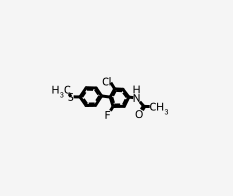 CSc1ccc(-c2c(F)cc(NC(C)=O)cc2Cl)cc1